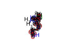 [2H]C([2H])([2H])Oc1cc2c(cn1)[C@]1(CN2)[C@@H](c2cccc(Cl)c2F)[C@H](C(=O)N2C[C@@H](C)Oc3cc(C(=O)N4CCC5(CC4)C[C@H]5C#Cc4cccc5c4CN([C@H]4CCC(=O)NC4=O)C5=O)ccc32)NC12CCC(C)(C)CC2